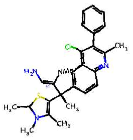 CN/C(=C\N)C(C)(C1=C(C)N(C)C(C)S1)c1ccc2nc(C)c(-c3ccccc3)c(Cl)c2c1